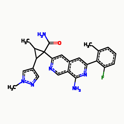 Cc1cccc(F)c1-c1cc2cc(C3(C(N)=O)C(C)C3c3cnn(C)c3)ncc2c(N)n1